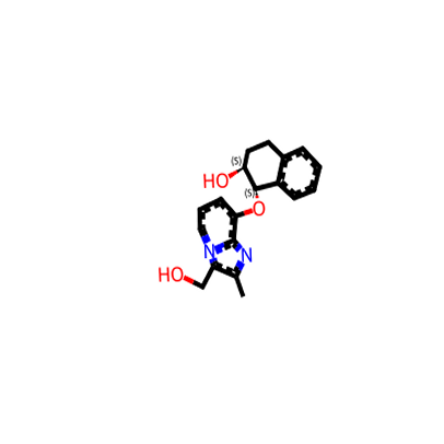 Cc1nc2c(O[C@H]3c4ccccc4CC[C@@H]3O)cccn2c1CO